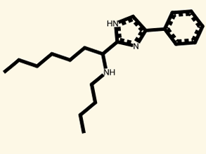 CCCCCCC(NCCCC)c1nc(-c2ccccc2)c[nH]1